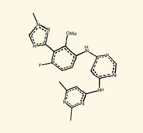 COc1c(Nc2cc(Nc3cc(C)nc(C)n3)ncn2)ccc(F)c1-c1ncn(C)n1